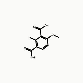 COc1ccc(C(=O)O)c(C)c1C(=O)O